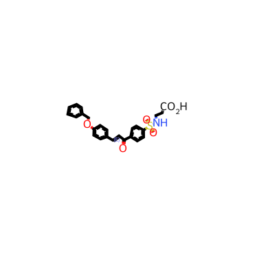 O=C(O)CCNS(=O)(=O)c1ccc(C(=O)/C=C/c2ccc(OCc3ccccc3)cc2)cc1